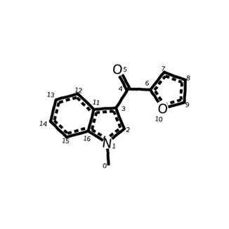 Cn1cc(C(=O)c2ccco2)c2ccccc21